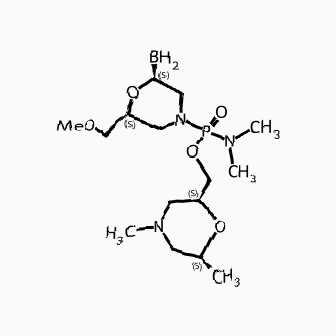 B[C@H]1CN(P(=O)(OC[C@@H]2CN(C)C[C@H](C)O2)N(C)C)C[C@@H](COC)O1